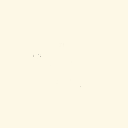 CC(=CN)c1ccccc1Cl